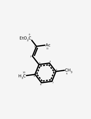 CCOC(=O)C(=Cc1cc(C)ccc1C)C(C)=O